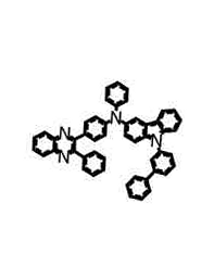 c1ccc(-c2cccc(-n3c4ccccc4c4cc(N(c5ccccc5)c5ccc(-c6nc7ccccc7nc6-c6ccccc6)cc5)ccc43)c2)cc1